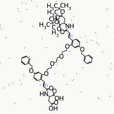 CC(C)(C)OC(=O)CC(NC(=O)/C=C/c1ccc(OCc2ccccc2)cc1OCCOCCOCCOc1cc(OCc2ccccc2)ccc1/C=C/C(=O)NC(CC(=O)O)C(=O)O)C(=O)OC(C)(C)C